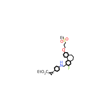 CCOC(=O)[C@H]1C[C@@H]1c1ccc(NCc2cc3c(cc2F)CCCc2cc(OCCCS(=O)(=O)CC)ccc2-3)cc1